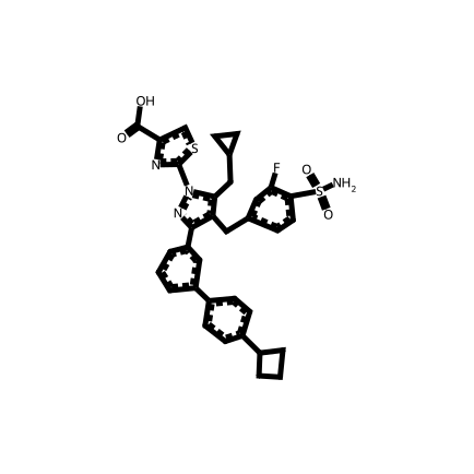 NS(=O)(=O)c1ccc(Cc2c(-c3cccc(-c4ccc(C5CCC5)cc4)c3)nn(-c3nc(C(=O)O)cs3)c2CC2CC2)cc1F